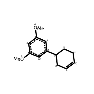 COc1cc(OC)cc(C2CC=CCC2)c1